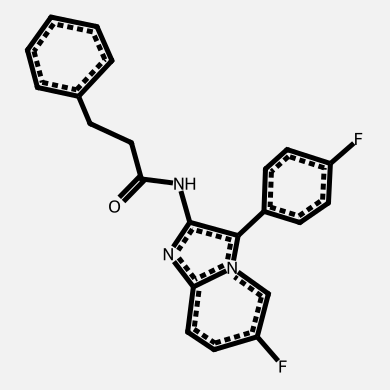 O=C(CCc1ccccc1)Nc1nc2ccc(F)cn2c1-c1ccc(F)cc1